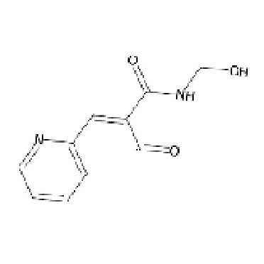 O=[C]/C(=C\c1ccccn1)C(=O)NCO